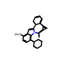 COc1ccc(C2CCCCC2)c2c1cc1n2C(C)=C2C=C2C2=CC=CCC21